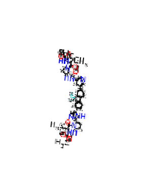 COC(=O)NC(C(=O)N1CCC[C@H]1c1ncc(-c2ccc3c(c2)C(F)(F)c2cc(-c4cncc(NC(=O)[C@@H]5CCCN5C(=O)[C@@H](NC(=O)OC)C(C)C)c4)ccc2-3)[nH]1)C(C)C